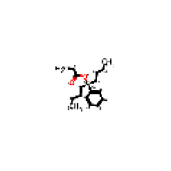 C=CC(=O)O[Si](CCCC)(CCCC)c1ccccc1